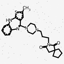 Cc1cc2c(s1)Nc1ccccc1N=C2N1CCN(CCCN2C(=O)CC3(CCCC3)C2=O)CC1